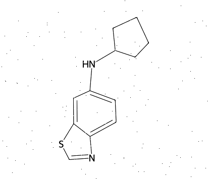 c1nc2ccc(NC3CCCC3)cc2s1